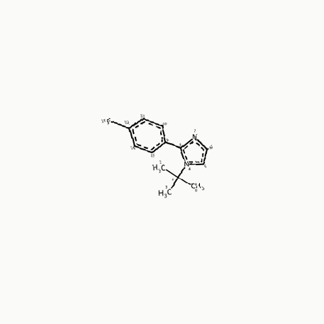 CC(C)(C)n1ccnc1-c1ccc(F)cc1